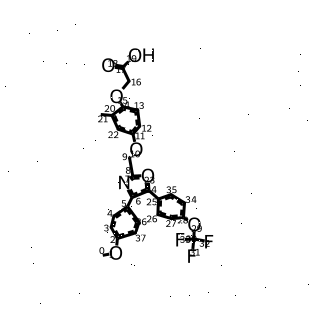 COc1ccc(-c2nc(COc3ccc(OCC(=O)O)c(C)c3)oc2-c2ccc(OC(F)(F)F)cc2)cc1